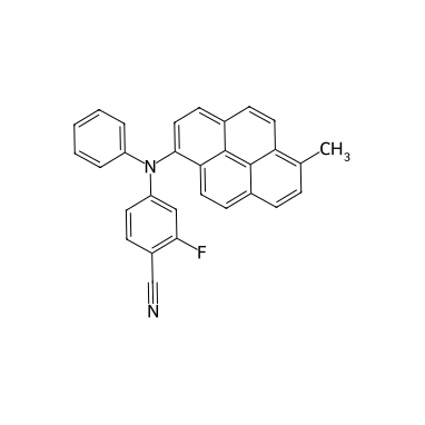 Cc1ccc2ccc3c(N(c4ccccc4)c4ccc(C#N)c(F)c4)ccc4ccc1c2c43